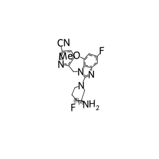 COc1cc(F)cc2nc(N3CC[C@@H](F)[C@H](N)C3)n(Cc3ccc(C#N)cn3)c12